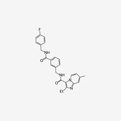 CCc1nc2cc(C)ccn2c1C(=O)NCc1cccc(C(=O)NCc2ccc(F)cc2)c1